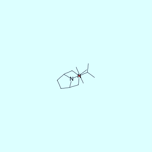 CC(C)N1CC2CCC(C1)N2C(C)(C)C